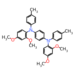 COc1ccc(N(c2ccc(C)cc2)c2ccc(N(c3ccc(C)cc3)c3ccc(OC)cc3OC)cc2)c(OC)c1